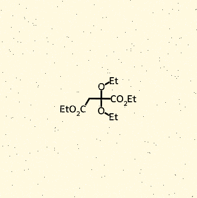 CCOC(=O)CC(OCC)(OCC)C(=O)OCC